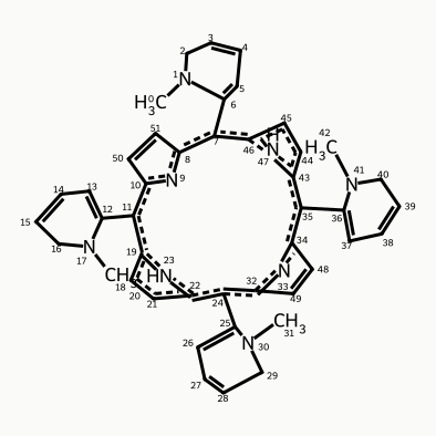 CN1CC=CC=C1c1c2nc(c(C3=CC=CCN3C)c3ccc([nH]3)c(C3=CC=CCN3C)c3nc(c(C4=CC=CCN4C)c4ccc1[nH]4)C=C3)C=C2